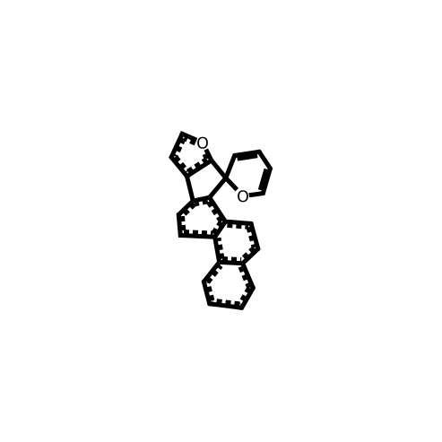 C1=COC2(C=C1)c1occc1-c1ccc3c(ccc4ccccc43)c12